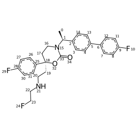 C[C@@H](c1ccc(-c2ccc(F)cc2)cc1)N1CC[C@](CCNCCF)(c2ccc(F)cc2)OC1=O